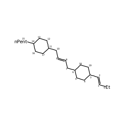 CCC=CC1CCC(CC=CCC2CCC(CCCCC)CC2)CC1